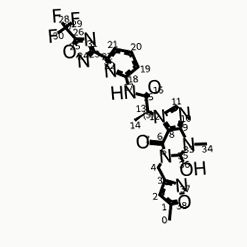 Cc1cc(CN2C(=O)c3c(ncn3[C@@H](C)C(=O)Nc3cccc(-c4noc(C(F)(F)F)n4)n3)N(C)C2O)no1